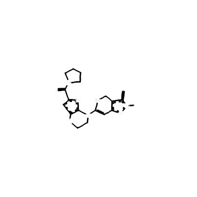 Cn1[nH]c2c(c1=O)CNC(N1CCOc3cc(C(=O)N4CCCC4)[nH]c31)=C2